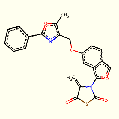 C=C1C(=O)SC(=O)N1c1occ2ccc(OCc3nc(-c4ccccc4)oc3C)cc12